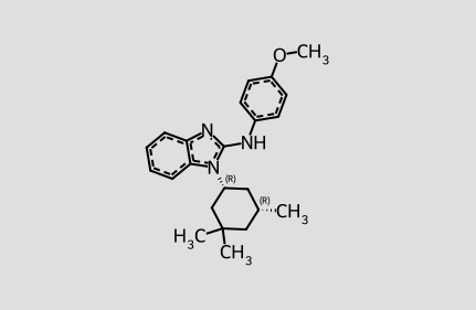 COc1ccc(Nc2nc3ccccc3n2[C@@H]2C[C@H](C)CC(C)(C)C2)cc1